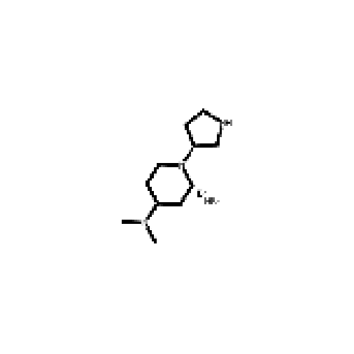 Br.Br.CN(C)C1CCN([C@H]2CCNC2)CC1